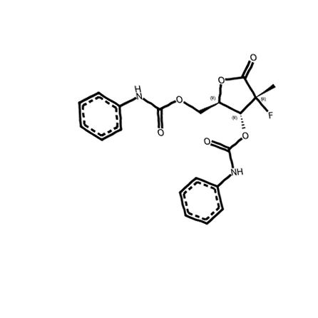 C[C@]1(F)C(=O)O[C@H](COC(=O)Nc2ccccc2)[C@H]1OC(=O)Nc1ccccc1